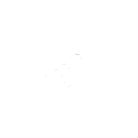 Cc1cc(-c2ccccc2)c2ccc(Cc3cn4ccccc4n3)cc2n1